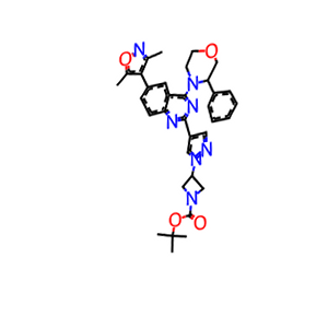 Cc1noc(C)c1-c1ccc2nc(-c3cnn(C4CN(C(=O)OC(C)(C)C)C4)c3)nc(N3CCOCC3c3ccccc3)c2c1